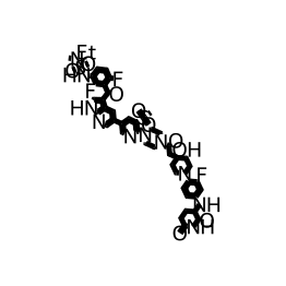 CCN(C)S(=O)(=O)Nc1ccc(F)c(C(=O)c2c[nH]c3ncc(-c4cnc(N5CCN(C(=O)CC6(O)CCN(c7ccc(NC8CCC(=O)NC8=O)cc7F)CC6)CC5)c(S(C)(=O)=O)c4)cc23)c1F